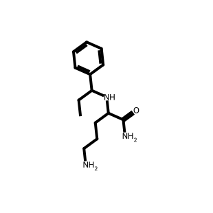 CCC(NC(CCCN)C(N)=O)c1ccccc1